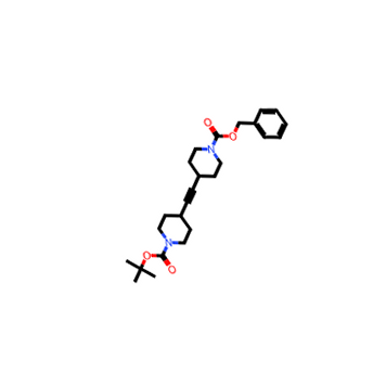 CC(C)(C)OC(=O)N1CCC(C#CC2CCN(C(=O)OCc3ccccc3)CC2)CC1